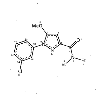 CCN(CC)C(=O)c1cc(OC)n(-c2cccc(Cl)c2)n1